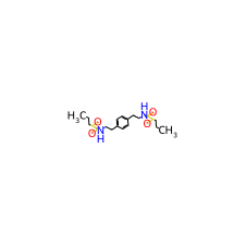 CCCS(=O)(=O)NCCc1ccc(CCNS(=O)(=O)CCC)cc1